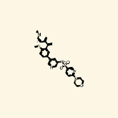 C=N/C=C\C(=C)C(=C)c1cc(-c2cncc(NS(=O)(=O)c3ccc(N4CCOCC4)nc3)c2)ccc1N=C